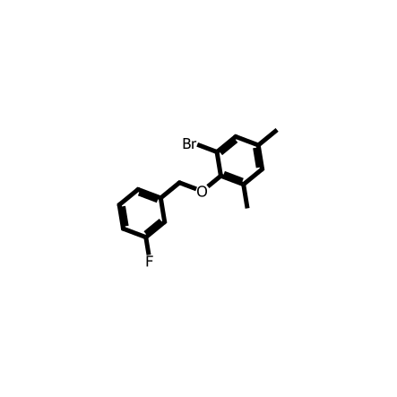 Cc1cc(C)c(OCc2cccc(F)c2)c(Br)c1